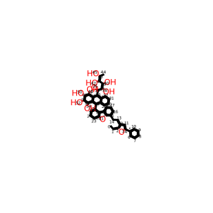 C/C=c1/oc(-c2ccccc2)c/c1=C/Cc1cccc2c1oc1cccc(-c3c4ccccc4c(C(=O)/C(O)=C(O)\C(O)=C(/C)O)c4c(O)c(O)c(O)c(O)c34)c12